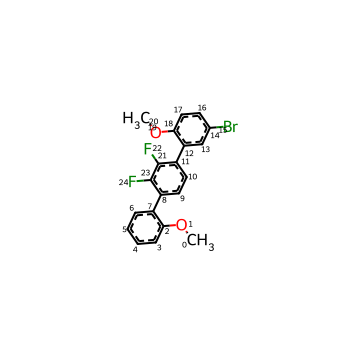 COc1ccccc1-c1ccc(-c2cc(Br)ccc2OC)c(F)c1F